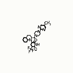 Cc1cnc(N2CCN(C(=O)[C@@H]3CCc4ccccc4N3c3cc(C(F)(F)F)c(=O)[nH]n3)CC2)nc1